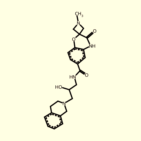 CN1CC2(C1)Oc1ccc(C(=O)NCC(O)CN3CCc4ccccc4C3)cc1NC2=O